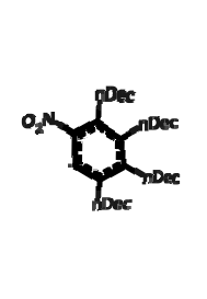 CCCCCCCCCCc1[c]c([N+](=O)[O-])c(CCCCCCCCCC)c(CCCCCCCCCC)c1CCCCCCCCCC